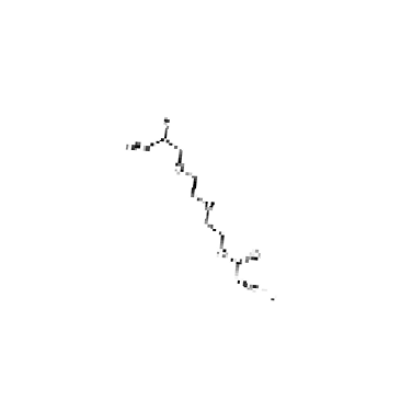 C=CC(=O)OCCOCCOCC(CC)CCCC